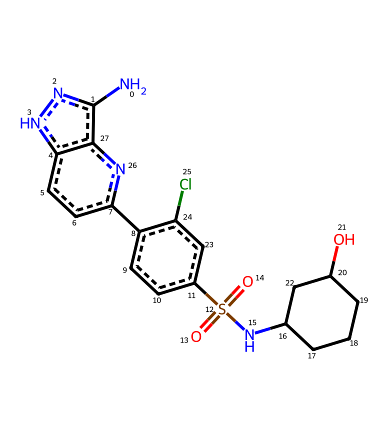 Nc1n[nH]c2ccc(-c3ccc(S(=O)(=O)NC4CCCC(O)C4)cc3Cl)nc12